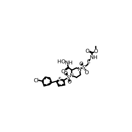 COC(=O)NCCS(=O)(=O)N1CCN(S(=O)(=O)c2ccc(-c3ccc(Cl)cc3)s2)C(C(=O)NO)C1